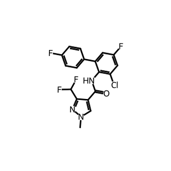 Cn1cc(C(=O)Nc2c(Cl)cc(F)cc2-c2ccc(F)cc2)c(C(F)F)n1